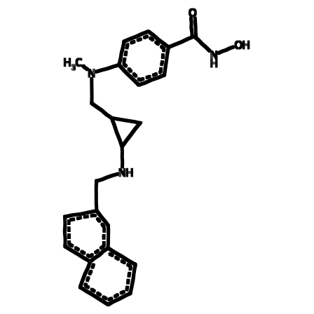 CN(CC1CC1NCc1ccc2ccccc2c1)c1ccc(C(=O)NO)cc1